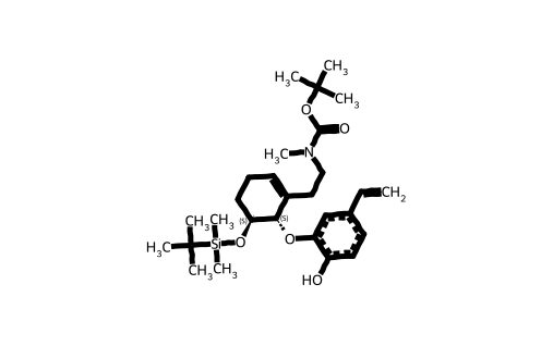 C=Cc1ccc(O)c(O[C@H]2C(CCN(C)C(=O)OC(C)(C)C)=CCC[C@@H]2O[Si](C)(C)C(C)(C)C)c1